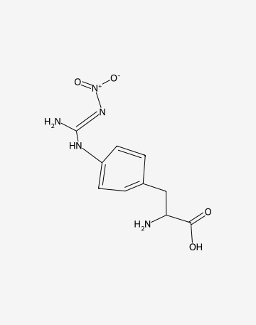 NC(=N[N+](=O)[O-])Nc1ccc(CC(N)C(=O)O)cc1